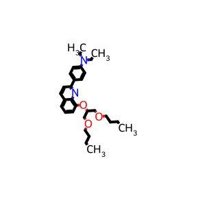 CCCCOCC(COCCCC)Oc1cccc2ccc(-c3ccc(N(CC)CC)cc3)nc12